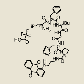 CCC(C)[C@H](NC(=O)[C@H](Cc1ccccc1)NC(=O)[C@@H](N)CC(C)C)C(=O)NCC(=O)N[C@@H](Cc1ccccc1)C(=O)N1CCC[C@H]1C(=O)NCCCNc1cccc2c1C(=O)c1ccccc1C2=O.O=C(O)C(F)(F)F